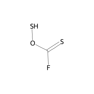 FC(=S)OS